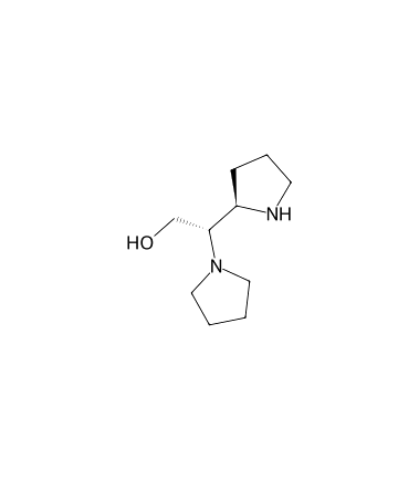 OC[C@H]([C@H]1CCCN1)N1CCCC1